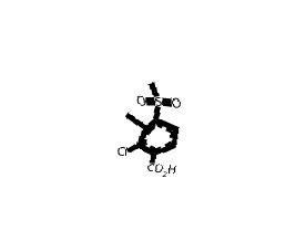 Cc1c(S(C)(=O)=O)ccc(C(=O)O)c1Cl